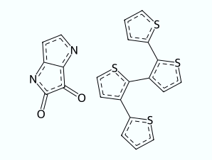 O=c1nc2ccnc-2c1=O.c1csc(-c2ccsc2-c2ccsc2-c2cccs2)c1